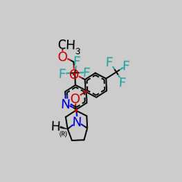 COCOc1cc(C(F)(F)F)ccc1OC1CC2CC[C@H](C1)N2c1ccc(C(F)(F)F)cn1